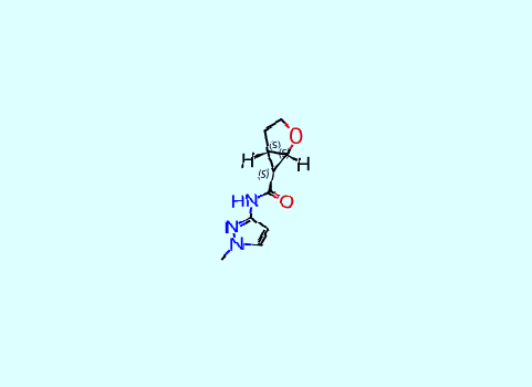 Cn1ccc(NC(=O)[C@H]2[C@@H]3CCO[C@@H]32)n1